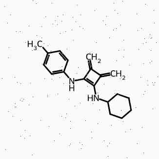 C=C1C(=C)C(NC2CCCCC2)=C1Nc1ccc(C)cc1